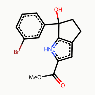 COC(=O)c1cc2c([nH]1)C(O)(c1cccc(Br)c1)CC2